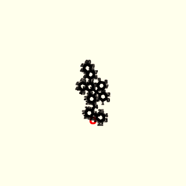 c1ccc(C2(c3ccccc3)c3cc(Cc4cccc5oc6ccccc6c45)ccc3-c3c2cc(-c2ccc4ccccc4c2)c2ccccc32)cc1